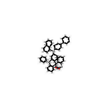 c1ccc(-c2ccc(N(c3ccc4c(c3)[SiH](c3ccccc3)c3ccccc3C43c4ccccc4Sc4ccccc43)c3cccc4ccccc34)cc2)cc1